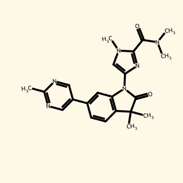 Cc1ncc(-c2ccc3c(c2)N(c2cn(C)c(C(=O)N(C)C)n2)C(=O)C3(C)C)cn1